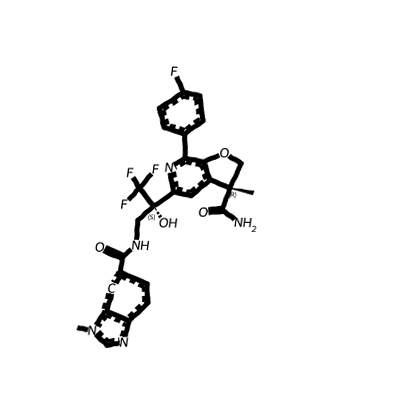 Cn1cnc2ccc(C(=O)NC[C@](O)(c3cc4c(c(-c5ccc(F)cc5)n3)OC[C@]4(C)C(N)=O)C(F)(F)F)cc21